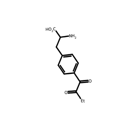 CCC(=O)C(=O)c1ccc(CC(N)C(=O)O)cc1